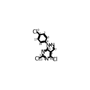 Clc1ccc(-n2ncc3c(Cl)nc(Cl)nc32)cc1